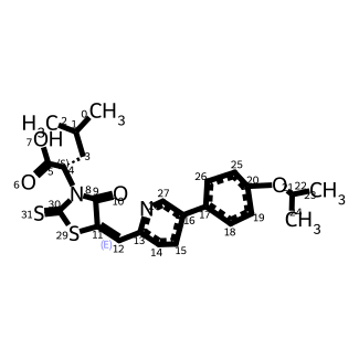 CC(C)C[C@@H](C(=O)O)N1C(=O)/C(=C\c2ccc(-c3ccc(OC(C)C)cc3)cn2)SC1=S